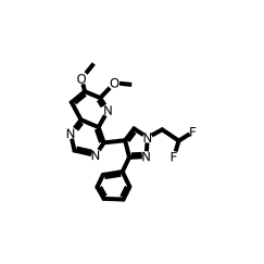 COc1cc2ncnc(-c3cn(CC(F)F)nc3-c3ccccc3)c2nc1OC